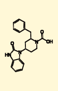 O=C(O)N1CCC(n2c(=O)[nH]c3ccccc32)CC1Cc1ccccc1